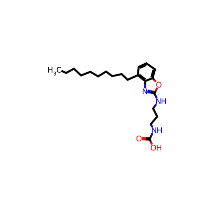 CCCCCCCCCCc1cccc2oc(NCCCNC(=O)O)nc12